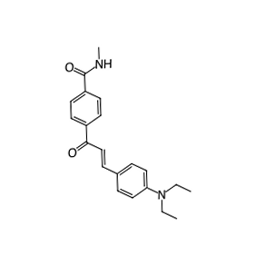 CCN(CC)c1ccc(/C=C/C(=O)c2ccc(C(=O)NC)cc2)cc1